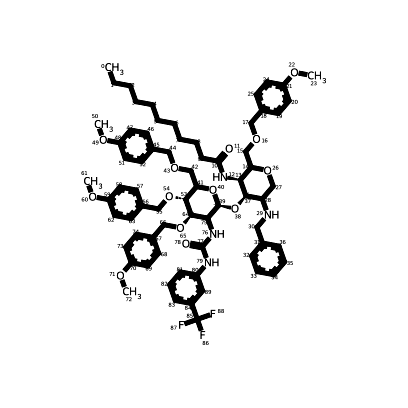 CCCCCCCCCCC(=O)N[C@H]1C(COCc2ccc(OC)cc2)OCC(NCc2ccccc2)[C@H]1O[C@@H]1OC(COCc2ccc(OC)cc2)[C@@H](OCc2ccc(OC)cc2)[C@H](OCc2ccc(OC)cc2)C1NC(=O)Nc1cccc(C(F)(F)F)c1